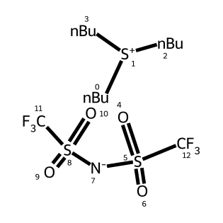 CCCC[S+](CCCC)CCCC.O=S(=O)([N-]S(=O)(=O)C(F)(F)F)C(F)(F)F